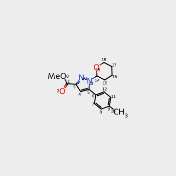 COC(=O)c1cc(-c2ccc(C)cc2)n(C2CCCCO2)n1